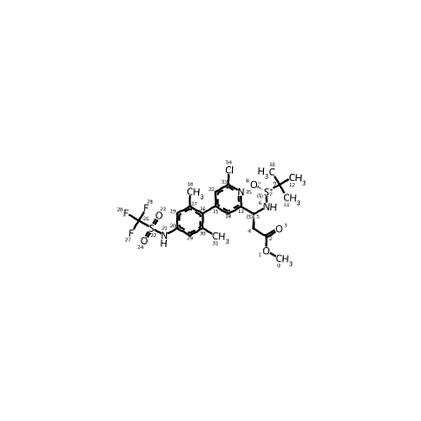 COC(=O)C[C@H](N[S@+]([O-])C(C)(C)C)c1cc(-c2c(C)cc(NS(=O)(=O)C(F)(F)F)cc2C)cc(Cl)n1